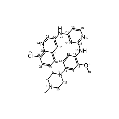 COc1cc(N2CCN(C)CC2)ccc1Nc1nccc(Nc2cnc3c(Cl)cccc3c2)n1